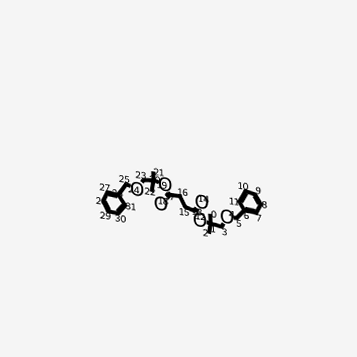 CC(C)(COCc1ccccc1)OC(=O)CCC(=O)OC(C)(C)COCc1ccccc1